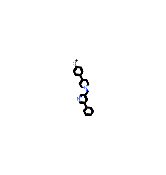 COc1ccc(C2=CCN(Cc3cncc(-c4ccccc4)c3)CC2)cc1